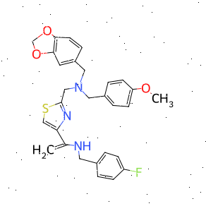 C=C(NCc1ccc(F)cc1)c1csc(CN(Cc2ccc(OC)cc2)Cc2ccc3c(c2)OCO3)n1